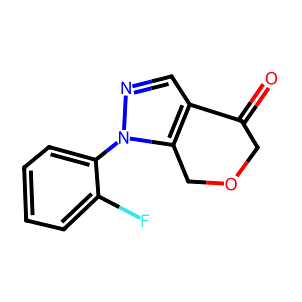 O=C1COCc2c1cnn2-c1ccccc1F